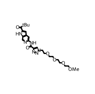 COCCOCCOCCOCCn1cc(C(=O)Nc2cc3cc(C(=O)C(C)(C)C)[nH]c3cn2)nn1